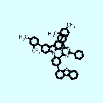 Cc1ccc(-c2ccc3c(c2)c2cc(-c4ccc(C(F)(F)F)cc4C)ccc2n3-c2ccc(-c3cccc4c3sc3ccccc34)cc2-c2nc(-c3ccccc3)nc(-c3ccccc3)n2)c(C(F)(F)F)c1